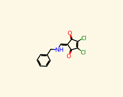 O=C1C(=CNCc2ccccc2)C(=O)C(Cl)=C1Cl